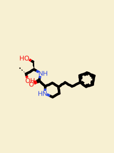 C[C@@H](O)[C@@H](CO)NC(=O)C1CC(CCc2ccccc2)CCN1